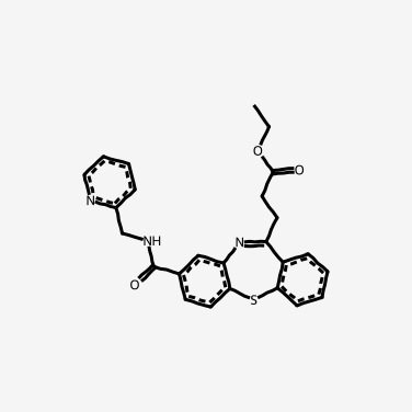 CCOC(=O)CCC1=Nc2cc(C(=O)NCc3ccccn3)ccc2Sc2ccccc21